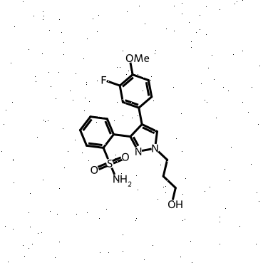 COc1ccc(-c2cn(CCCO)nc2-c2ccccc2S(N)(=O)=O)cc1F